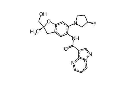 C[C@]1(CO)Cc2cc(NC(=O)c3cnn4cccnc34)c(N3CC[C@@H](F)C3)cc2O1